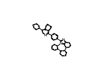 c1ccc(-c2cnc(-c3ccc(-c4nc5cccc6c5n4-c4ccccc4-c4ccccc4-6)cc3)c3ccccc23)cc1